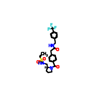 C=CS(=O)(=O)NC[C@@H]1CCCN1C(=O)c1ccc(CC(=O)NCc2ccc(C(F)(F)F)cc2)cc1